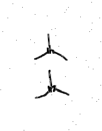 [CH3][In]([CH3])[CH3].[CH3][In]([CH3])[CH3]